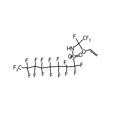 C=COC(F)(NS(=O)(=O)C(F)(F)C(F)(F)C(F)(F)C(F)(F)C(F)(F)C(F)(F)C(F)(F)C(F)(F)F)C(F)(F)F